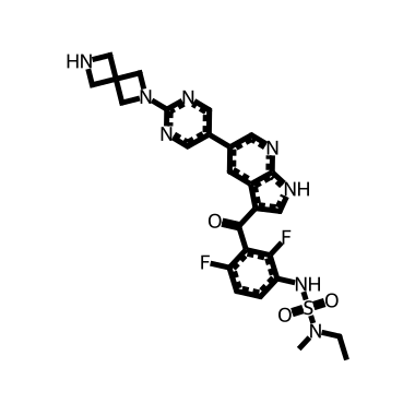 CCN(C)S(=O)(=O)Nc1ccc(F)c(C(=O)c2c[nH]c3ncc(-c4cnc(N5CC6(CNC6)C5)nc4)cc23)c1F